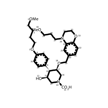 COCCCCOc1ccc([C@H]2[C@H](O)CN(C(=O)O)C[C@@H]2OCc2ccc3c(c2)N(CCCOC)CCO3)cc1